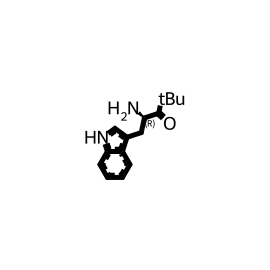 CC(C)(C)C(=O)[C@H](N)Cc1c[nH]c2ccccc12